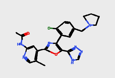 CC(=O)Nc1cc(-c2nc(-c3cc(CN4CCCC4)ccc3Cl)c(-c3nnc[nH]3)o2)c(C)cn1